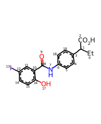 CCC(C(=O)O)c1ccc(NC(=O)c2cc(I)ccc2O)cc1